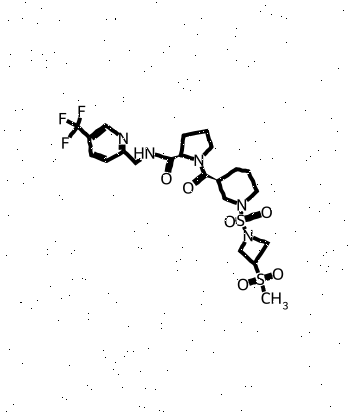 CS(=O)(=O)C1CN(S(=O)(=O)N2CCC[C@H](C(=O)N3CCC[C@@H]3C(=O)NCc3ccc(C(F)(F)F)cn3)C2)C1